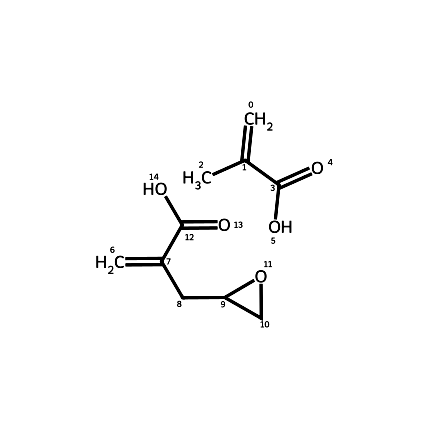 C=C(C)C(=O)O.C=C(CC1CO1)C(=O)O